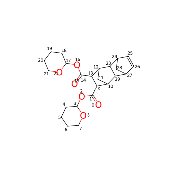 O=C(OC1CCCCO1)C1C2CC(C1C(=O)OC1CCCCO1)C1C3C=CC(C3)C21